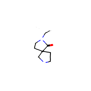 CC(=O)[C@H](C(C)C)N1CCC2(CCNC2)C1=O